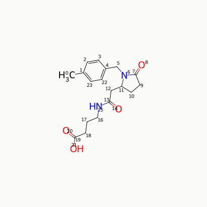 Cc1ccc(CN2C(=O)CCC2CC(=O)NCCCC(=O)O)cc1